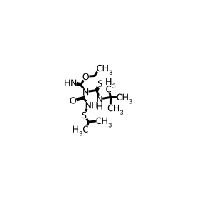 CCOC(=N)N(C(=O)NSC(C)C)C(=S)NC(C)(C)C